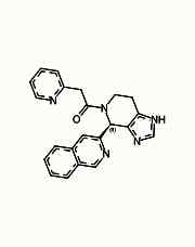 O=C(Cc1ccccn1)N1CCc2[nH]cnc2[C@H]1c1cc2ccccc2cn1